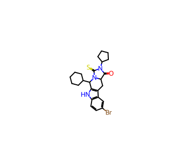 O=C1C2Cc3c([nH]c4ccc(Br)cc34)C(C3CCCCC3)N2C(=S)N1C1CCCC1